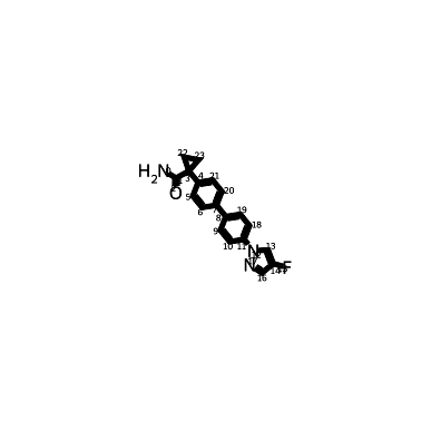 NC(=O)C1(c2ccc(-c3ccc(-n4[c]c(F)cn4)cc3)cc2)CC1